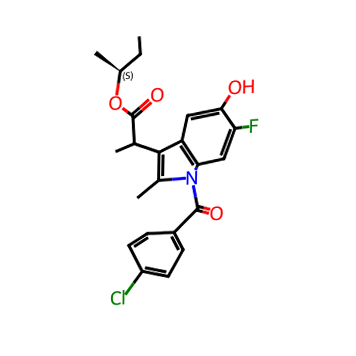 CC[C@H](C)OC(=O)C(C)c1c(C)n(C(=O)c2ccc(Cl)cc2)c2cc(F)c(O)cc12